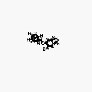 CC1(C)[C@H]2CC[C@H](COc3cc4nncn4cc3Br)[C@@H]1C2